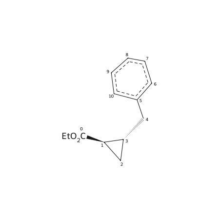 CCOC(=O)[C@@H]1C[C@H]1Cc1ccccc1